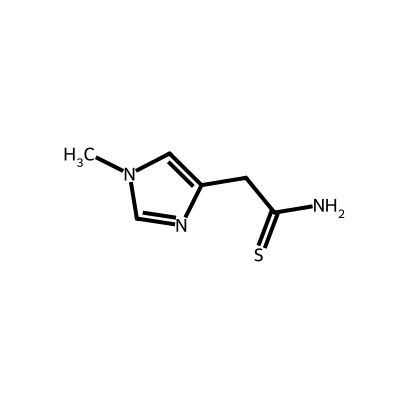 Cn1cnc(CC(N)=S)c1